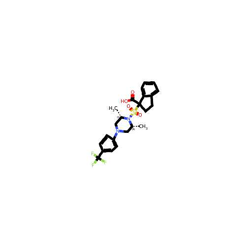 C[C@@H]1CN(c2ccc(C(F)(F)F)cc2)C[C@H](C)N1S(=O)(=O)C1(C(=O)O)CCc2ccccc21